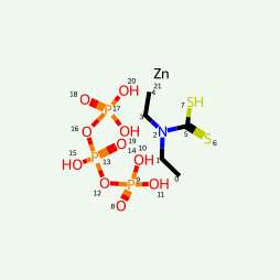 CCN(CC)C(=S)S.O=P(O)(O)OP(=O)(O)OP(=O)(O)O.[Zn]